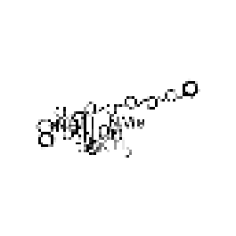 CNC(=O)OC(C)C(=O)NC(C(=O)N1C[C@@H](OCCOCCOCCOCCOCc2ccccc2)C[C@H]1C(=O)N[C@@H]1CCCc2ccccc21)C(C)(C)C